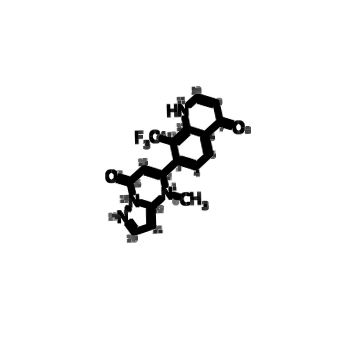 Cn1c(-c2ccc3c(=O)cc[nH]c3c2C(F)(F)F)cc(=O)n2nccc12